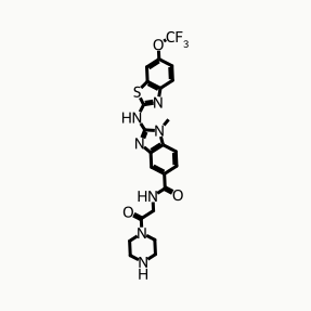 Cn1c(Nc2nc3ccc(OC(F)(F)F)cc3s2)nc2cc(C(=O)NCC(=O)N3CCNCC3)ccc21